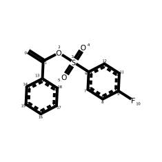 C=C(OS(=O)(=O)c1ccc(F)cc1)c1ccccc1